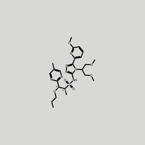 CCCO[C@@H](c1ncc(C)cn1)[C@H](C)S(=O)(=O)Nc1nnc(-c2cccc(OC)n2)n1C(COC)COC